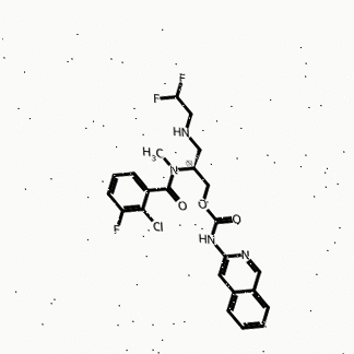 CN(C(=O)c1cccc(F)c1Cl)[C@@H](CNCC(F)F)COC(=O)Nc1cc2ccccc2cn1